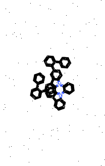 c1ccc(-c2ccccc2-c2ccc3c(c2)c2cc(-c4ccccc4-c4ccccc4)ccc2n3-c2ccccc2-n2c3ccccc3c3ccccc32)cc1